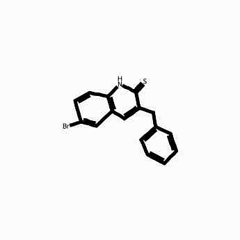 S=c1[nH]c2ccc(Br)cc2cc1Cc1ccccc1